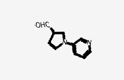 O=[C]C1CCN(c2cccnc2)C1